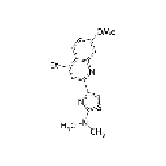 CCc1cc(-c2csc(N(C)C)n2)nc2cc(OC)ccc12